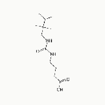 CC(C)C(C)(C)CNC(=O)NCCCC(=O)O